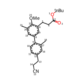 CCCCOC(=O)CCc1cc(-c2ccc(CCC#N)cc2C)cc(C)c1OC